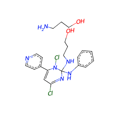 NCCCO.OCCCNC1(Nc2ccccc2)N=C(Cl)C=C(c2ccncc2)N1Cl